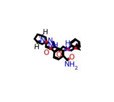 NC(=O)c1ccc(C(=O)N[C@H]2C[C@H]3CC[C@@H](C2)N3c2ccc(C(=O)CCc3ccccc3)cn2)cc1NCC1CC1